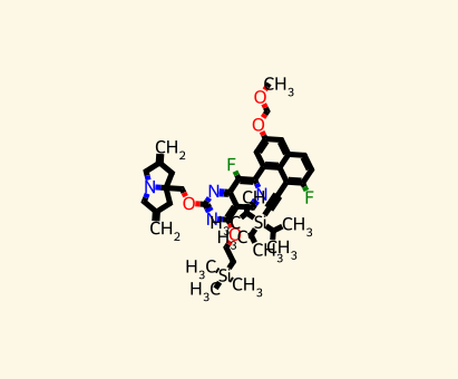 C=C1CN2CC(=C)CC2(COc2nc(OCC[Si](C)(C)C)c3cnc(-c4cc(OCOC)cc5ccc(F)c(C#C[Si](C(C)C)(C(C)C)C(C)C)c45)c(F)c3n2)C1